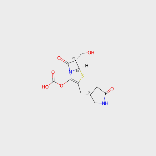 O=C1C[C@@H](CC2=C(OC(=O)O)N3C(=O)[C@H](CO)[C@H]3S2)CN1